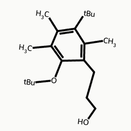 Cc1c(C)c(C(C)(C)C)c(C)c(CCCO)c1OC(C)(C)C